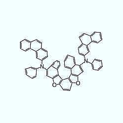 c1ccc(N(c2ccc3ccc4ccccc4c3c2)c2cc3oc4ccc5oc6cc(N(c7ccccc7)c7ccc8ccc9ccccc9c8c7)c7ccccc7c6c5c4c3c3ccccc23)cc1